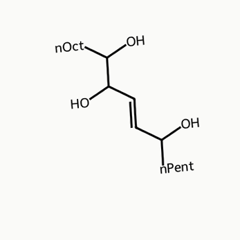 CCCCCCCCC(O)C(O)C=CC(O)CCCCC